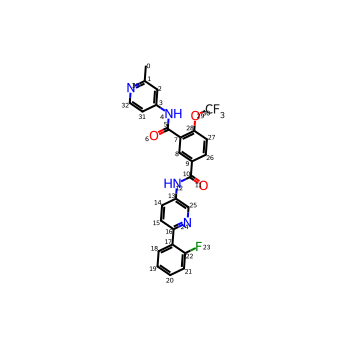 Cc1cc(NC(=O)c2cc(C(=O)Nc3ccc(-c4ccccc4F)nc3)ccc2OC(F)(F)F)ccn1